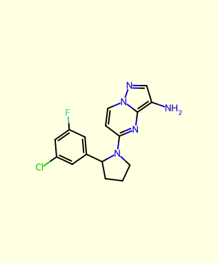 Nc1cnn2ccc(N3CCCC3c3cc(F)cc(Cl)c3)nc12